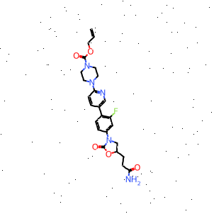 C=CCOC(=O)N1CCN(c2ccc(-c3ccc(N4CC(CCC(N)=O)OC4=O)cc3F)cn2)CC1